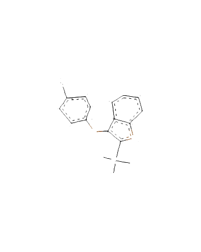 C[Si](C)(C)c1sc2ccccc2c1Sc1ccc([N+](=O)[O-])cc1